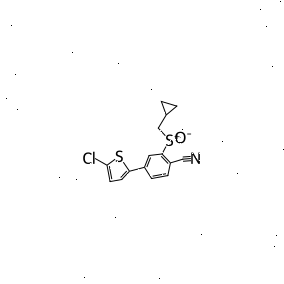 N#Cc1ccc(-c2ccc(Cl)s2)cc1[S+]([O-])CC1CC1